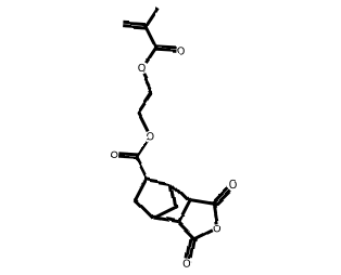 C=C(C)C(=O)OCCOC(=O)C1CC2CC1C1C(=O)OC(=O)C21